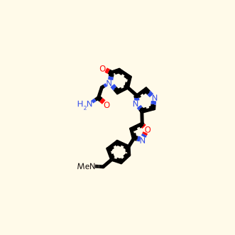 CNCc1ccc(-c2cc(-c3cncc(-c4ccc(=O)n(CC(N)=O)c4)n3)on2)cc1